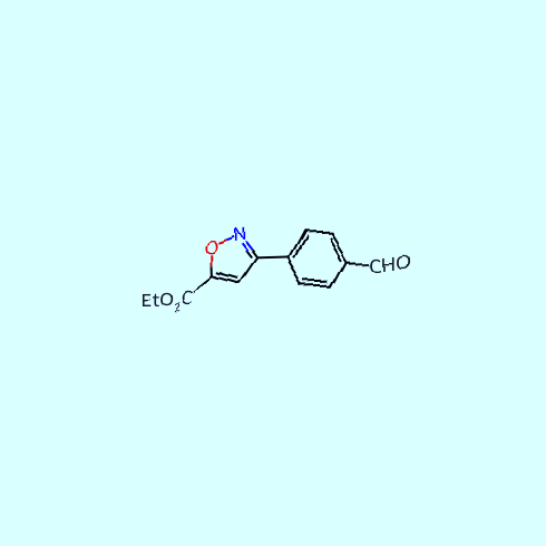 CCOC(=O)c1cc(-c2ccc(C=O)cc2)no1